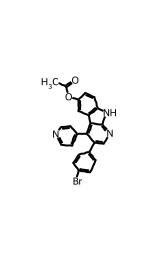 CC(=O)Oc1ccc2[nH]c3ncc(-c4ccc(Br)cc4)c(-c4ccncc4)c3c2c1